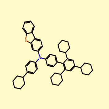 c1ccc2c(c1)sc1cc(N(c3ccc(-c4c(C5CCCCC5)cc(C5CCCCC5)cc4C4CCCCC4)cc3)c3ccc(C4CCCCC4)cc3)ccc12